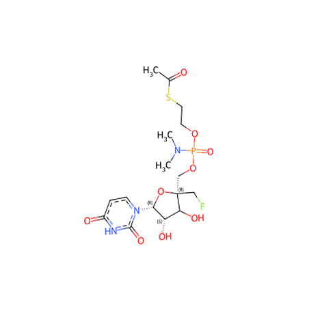 CC(=O)SCCOP(=O)(OC[C@@]1(CF)O[C@@H](n2ccc(=O)[nH]c2=O)[C@@H](O)C1O)N(C)C